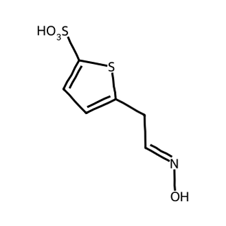 O=S(=O)(O)c1ccc(CC=NO)s1